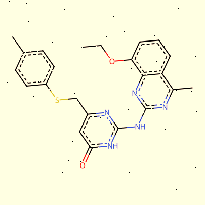 CCOc1cccc2c(C)nc(Nc3nc(CSc4ccc(C)cc4)cc(=O)[nH]3)nc12